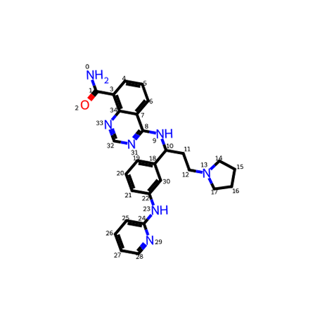 NC(=O)c1cccc2c(NC(CCN3CCCC3)c3cccc(Nc4ccccn4)c3)ncnc12